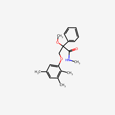 CNC(=O)C(COc1cc(C)cc(C)c1C)(OC)c1ccccc1